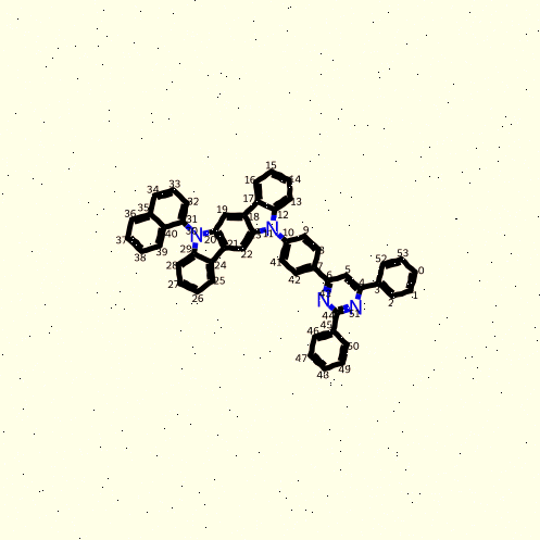 c1ccc(-c2cc(-c3ccc(-n4c5ccccc5c5cc6c(cc54)c4ccccc4n6-c4cccc5ccccc45)cc3)nc(-c3ccccc3)n2)cc1